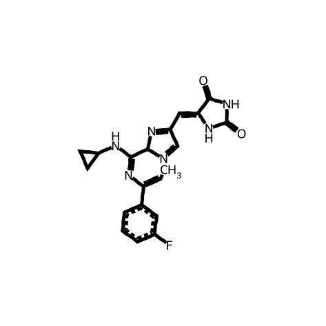 C/C=C(\N=C(\NC1CC1)C1N=CC(/C=C2\NC(=O)NC2=O)=N1)c1cccc(F)c1